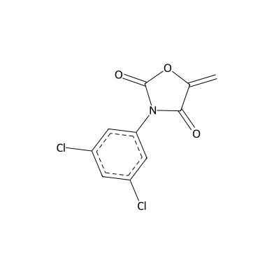 C=C1OC(=O)N(c2cc(Cl)cc(Cl)c2)C1=O